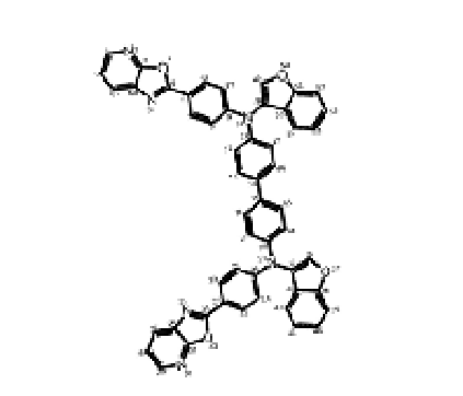 c1cnc2oc(-c3ccc(N(c4ccc(-c5ccc(N(c6ccc(-c7nc8cccnc8o7)cc6)c6coc7ccccc67)cc5)cc4)c4coc5ccccc45)cc3)nc2c1